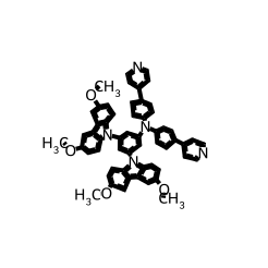 COc1ccc2c(c1)c1cc(OC)ccc1n2-c1cc(N(c2ccc(-c3ccncc3)cc2)c2ccc(-c3ccncc3)cc2)cc(-n2c3ccc(OC)cc3c3cc(OC)ccc32)c1